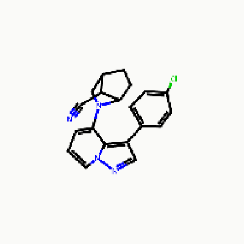 N#CC1C2CCC1N(c1cccn3ncc(-c4ccc(Cl)cc4)c13)C2